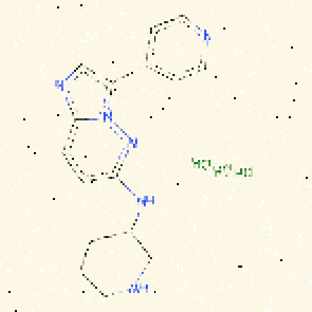 Cl.Cl.Cl.c1cc(-c2cnc3ccc(NC4CCCNC4)nn23)ccn1